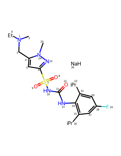 CCN(C)Cc1cc(S(=O)(=O)NC(=O)Nc2c(C(C)C)cc(F)cc2C(C)C)nn1C.[NaH]